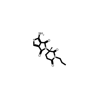 CCCN1C(=O)CC[C@](C)(N2C(=O)c3csc(N)c3C2=O)C1=O